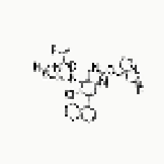 C=C(F)C(=O)N1C[C@@H]2CC2[C@H]1CNc1c(Cl)c(-c2cccc3c2CCCC3)cc2nc(OC[C@@]34CCCN3C[C@H](F)C4)ncc12